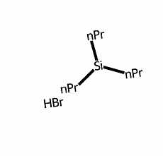 Br.CCC[Si](CCC)CCC